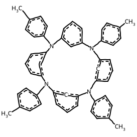 Cc1ccc(N2c3cccc(c3)N(c3ccc(C)cc3)c3cccc(c3)N(c3ccc(C)cc3)c3cccc(c3)N(c3ccc(C)cc3)c3cccc2c3)cc1